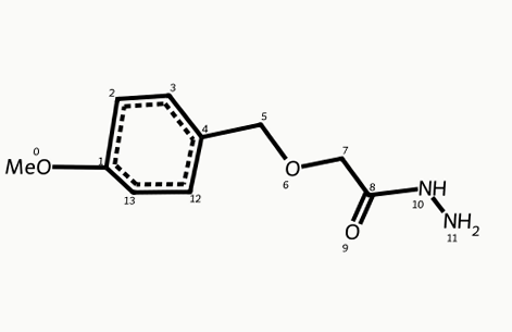 COc1ccc(COCC(=O)NN)cc1